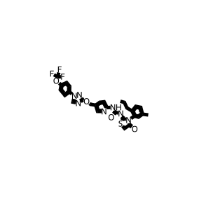 CCCc1ccc(C)cc1N1C(=O)CS/C1=N\C(=O)Nc1ccc(COc2ncn(-c3ccc(OC(F)(F)F)cc3)n2)cn1